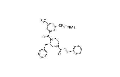 CNC.O=C(C=Cc1ccccc1)N1CCN(C(=O)c2cc(C(F)(F)F)cc(C(F)(F)F)c2)[C@H](Cc2ccccc2)C1